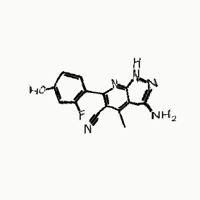 Cc1c(C#N)c(-c2ccc(O)cc2F)nc2[nH]nc(N)c12